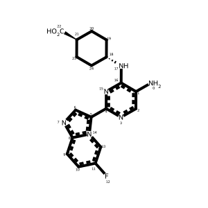 Nc1cnc(-c2cnc3ccc(F)cn23)nc1N[C@H]1CC[C@H](C(=O)O)CC1